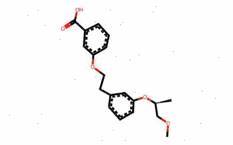 COC[C@H](C)Oc1cccc(CCOc2cccc(C(=O)O)c2)c1